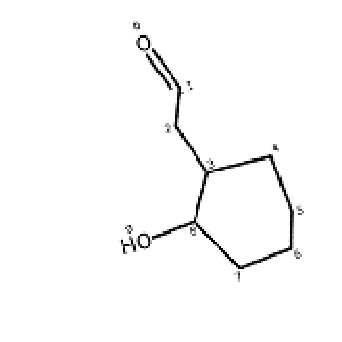 O=[C]CC1CCCCC1O